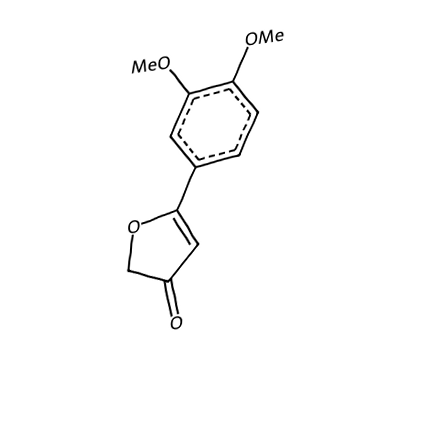 COc1ccc(C2=CC(=O)CO2)cc1OC